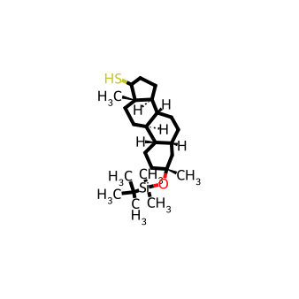 CC(C)(C)[Si](C)(C)O[C@]1(C)CC[C@H]2[C@H](CC[C@@H]3[C@@H]2CC[C@]2(C)C(S)CC[C@@H]32)C1